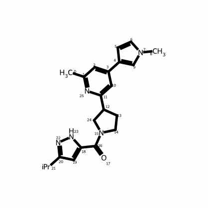 Cc1cc(-c2ccn(C)c2)cc(C2CCN(C(=O)c3cc(C(C)C)n[nH]3)C2)n1